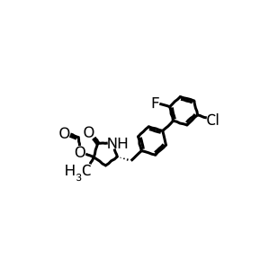 CC1(OC=O)C[C@@H](Cc2ccc(-c3cc(Cl)ccc3F)cc2)NC1=O